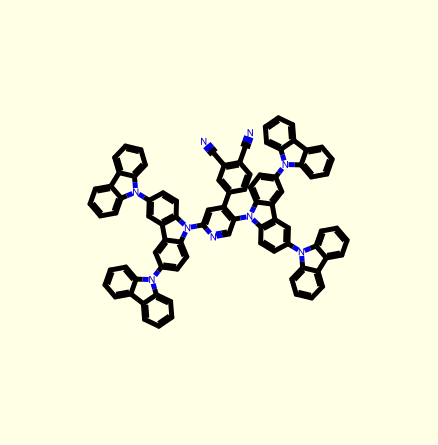 N#Cc1ccc(-c2cc(-n3c4ccc(-n5c6ccccc6c6ccccc65)cc4c4cc(-n5c6ccccc6c6ccccc65)ccc43)ncc2-n2c3ccc(-n4c5ccccc5c5ccccc54)cc3c3cc(-n4c5ccccc5c5ccccc54)ccc32)cc1C#N